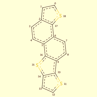 c1cc2ccc3c(ccc4c5sccc5sc34)c2s1